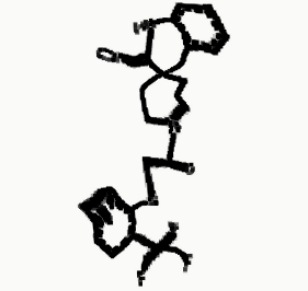 O=C(CSc1ccccc1C(F)(F)F)N1CCC2(CC1)C(=O)Nc1ccccc12